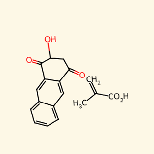 C=C(C)C(=O)O.O=C1CC(O)C(=O)c2cc3ccccc3cc21